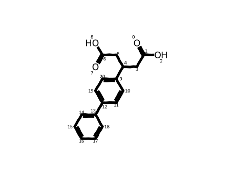 O=C(O)CC(CC(=O)O)c1ccc(-c2ccccc2)cc1